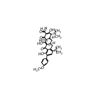 COc1ccc(-c2cc(N(C)C)c3c(c2O)C(=O)C2=C(O)[C@@]4(O)C(=O)C(C(N)=O)=C(O)[C@H](N(C)C)[C@H]4C[C@H]2C3)cc1